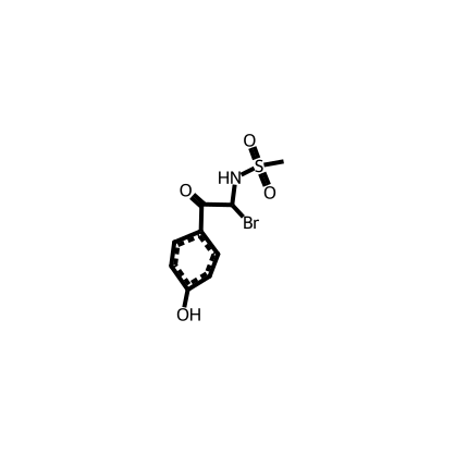 CS(=O)(=O)NC(Br)C(=O)c1ccc(O)cc1